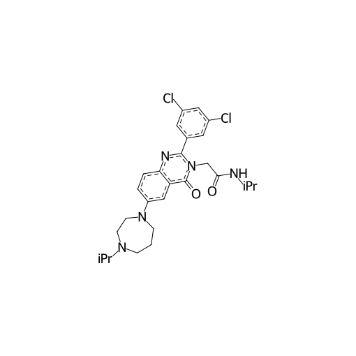 CC(C)NC(=O)Cn1c(-c2cc(Cl)cc(Cl)c2)nc2ccc(N3CCCN(C(C)C)CC3)cc2c1=O